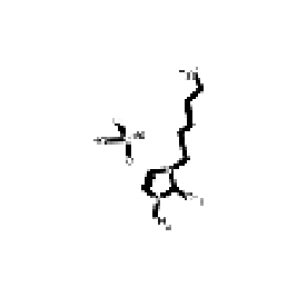 CCCCCCN1C=CN(C)C1C.[O-][Cl+3]([O-])([O-])O